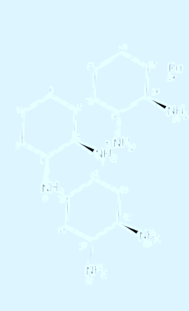 N[C@@H]1CCCC[C@H]1N.N[C@@H]1CCCC[C@H]1N.N[C@@H]1CCCC[C@H]1N.[Ru]